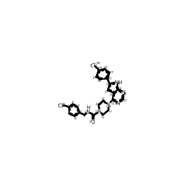 O=C(NCc1ccc(Cl)cc1)N1CCN(c2ncnc3[nH]c(-c4ccc(Cl)cc4)cc23)CC1